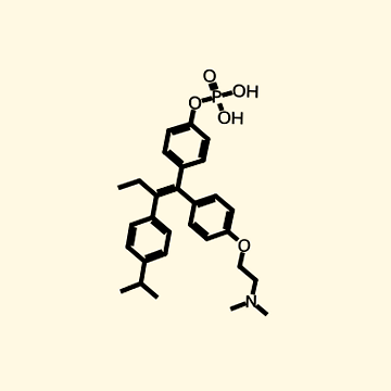 CC/C(=C(/c1ccc(OCCN(C)C)cc1)c1ccc(OP(=O)(O)O)cc1)c1ccc(C(C)C)cc1